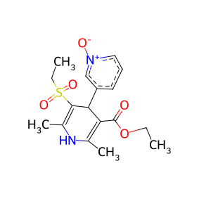 CCOC(=O)C1=C(C)NC(C)=C(S(=O)(=O)CC)C1c1ccc[n+]([O-])c1